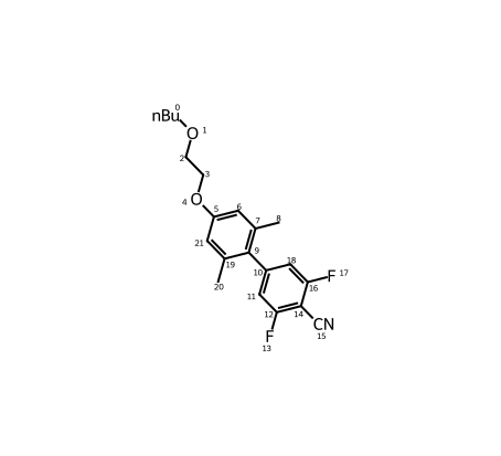 CCCCOCCOc1cc(C)c(-c2cc(F)c(C#N)c(F)c2)c(C)c1